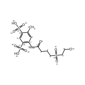 Cc1cc(NC(=O)CCCS(=O)(=O)CCCl)c(S(=O)(=O)O)cc1S(=O)(=O)O